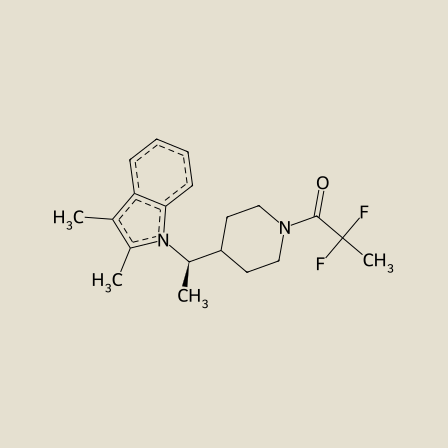 Cc1c(C)n([C@H](C)C2CCN(C(=O)C(C)(F)F)CC2)c2ccccc12